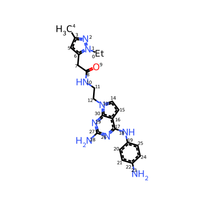 CCn1nc(C)cc1CC(=O)NCCn1ccc2c(Nc3ccc(N)cc3)nc(N)nc21